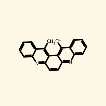 Cc1c2ccccc2nc2ccc3nc4ccccc4c(C)c3c12